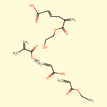 C=C(C)C(=O)OC.C=C(CC=CC(=O)O)C(=O)OCCO.C=CC(=O)O.C=CC(=O)OCC